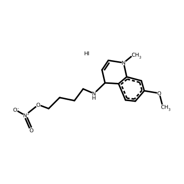 COc1ccc2c(c1)N(C)C=CC2NCCCCO[N+](=O)[O-].I